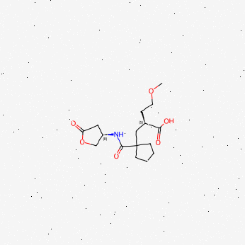 COCC[C@H](CC1(C(=O)N[C@H]2COC(=O)C2)CCCC1)C(=O)O